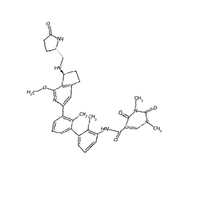 COc1nc(-c2cccc(-c3cccc(NC(=O)c4cn(C)c(=O)n(C)c4=O)c3C)c2C)cc2c1[C@@H](NC[C@@H]1CCC(=O)N1)CC2